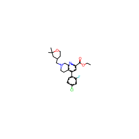 CCOC(=O)c1cc(-c2ccc(Cl)cc2F)c2c(n1)CN(CC1CCOC(C)(C)C1)CC2